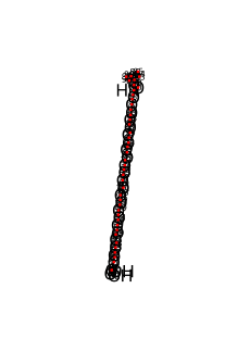 O=C(NCCOCCOCCOCCOCCOCCOCCOCCOCCOCCOCCOCCOCCOCCOCCOCCOCCOCCOCCOCCOCCOCCOCCOCCOP(=O)(O)O)OCC1c2ccccc2-c2ccccc21